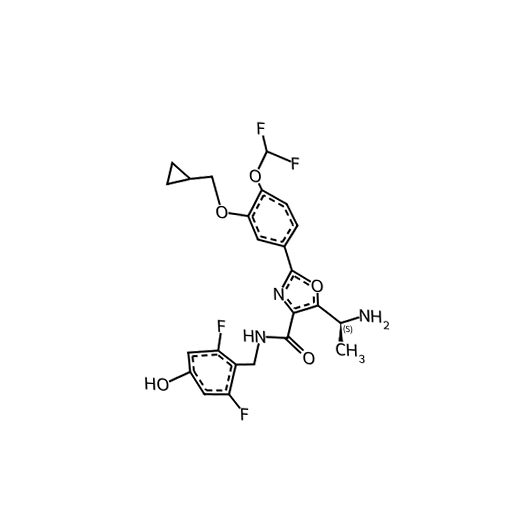 C[C@H](N)c1oc(-c2ccc(OC(F)F)c(OCC3CC3)c2)nc1C(=O)NCc1c(F)cc(O)cc1F